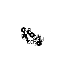 Cc1ccccc1NC(=O)Nc1ccc(CC(=O)N2CCCCC2c2cc(CCC(=O)O)on2)cc1